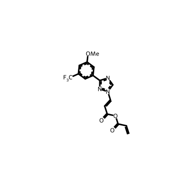 C=CC(=O)OC(=O)C=Cn1cnc(-c2cc(OC)cc(C(F)(F)F)c2)n1